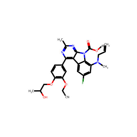 C=CCN(C)c1cc(F)cc2c3c(-c4ccc(OCC(C)O)c(OCC#N)c4)nc(C)nc3n(C(=O)OC(C)(C)C)c12